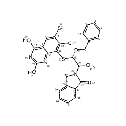 C[C@@H]([C@@H](OCc1ccccc1)Sc1c(Cl)c(C(F)(F)F)cc2c(O)nc(O)nc12)N1Cc2ccccc2C1=O